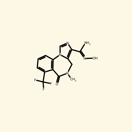 CN1Cc2c(C(N)=NO)ncn2-c2cccc(C(F)(F)F)c2C1=O